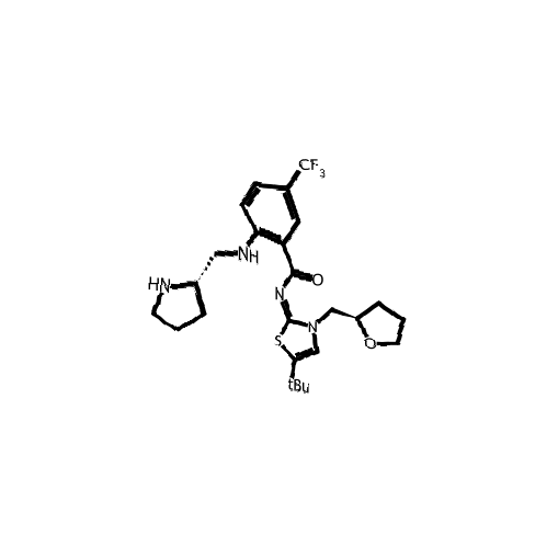 CC(C)(C)c1cn(C[C@H]2CCCO2)c(=NC(=O)c2cc(C(F)(F)F)ccc2NC[C@@H]2CCCN2)s1